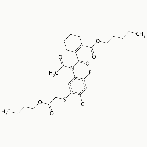 CCCCCOC(=O)C1=C(C(=O)N(C(C)=O)c2cc(SCC(=O)OCCCC)c(Cl)cc2F)CCCC1